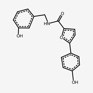 O=C(NCc1cccc(O)c1)c1ccc(-c2ccc(O)cc2)o1